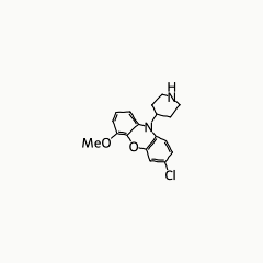 COc1cccc2c1Oc1cc(Cl)ccc1N2C1CCNCC1